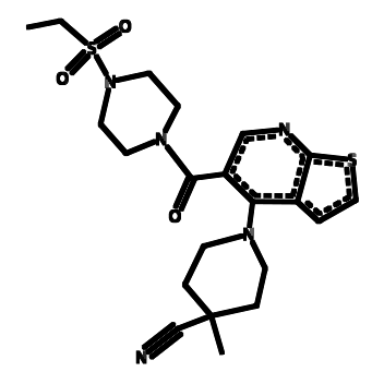 CCS(=O)(=O)N1CCN(C(=O)c2cnc3sccc3c2N2CCC(C)(C#N)CC2)CC1